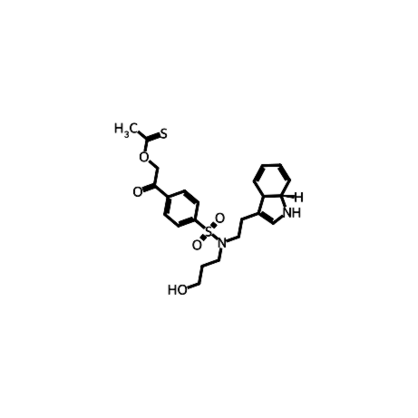 CC(=S)OCC(=O)c1ccc(S(=O)(=O)N(CCCO)CCC2=CN[C@H]3C=CC=CC23)cc1